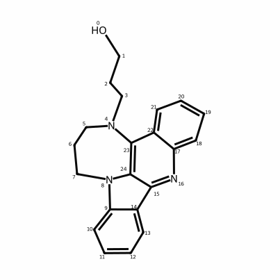 OCCCN1CCCn2c3ccccc3c3nc4ccccc4c1c32